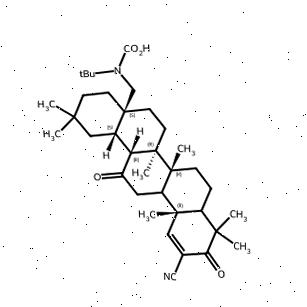 CC1(C)CC[C@]2(CN(C(=O)O)C(C)(C)C)CC[C@]3(C)[C@H](C(=O)CC4[C@@]5(C)C=C(C#N)C(=O)C(C)(C)C5CC[C@]43C)[C@@H]2C1